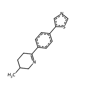 CC1CCC(c2ccc(-c3cncs3)cc2)=NC1